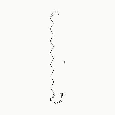 C=CCCCCCCCCCCCCc1ncc[nH]1.I